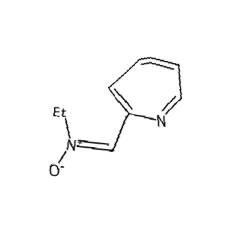 CC/[N+]([O-])=C\c1ccccn1